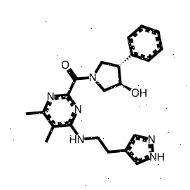 Cc1nc(C(=O)N2C[C@H](c3ccccc3)[C@@H](O)C2)nc(NCCc2cn[nH]c2)c1C